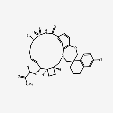 CC[C@@H]1CC/C=C/[C@H](O[C@H](C)C(=O)OC)[C@@H]2CC[C@H]2CN2C[C@@]3(CCCc4cc(Cl)ccc43)COc3ccc(cc32)C(=O)NS1(=O)=O